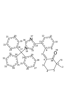 CC1(C)CCCC(=Cc2ccccc2-c2cn(C(c3ccccc3)(c3ccccc3)c3ccccc3)cn2)C1=O